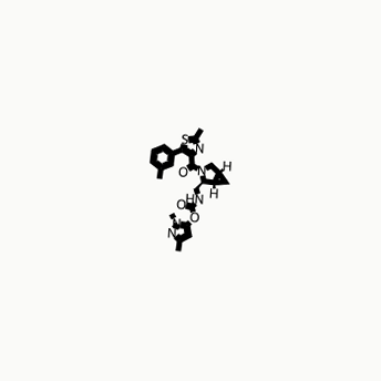 Cc1cccc(-c2sc(C)nc2C(=O)N2C[C@@H]3C[C@@H]3[C@H]2CNC(=O)Oc2cc(C)nn2C)c1